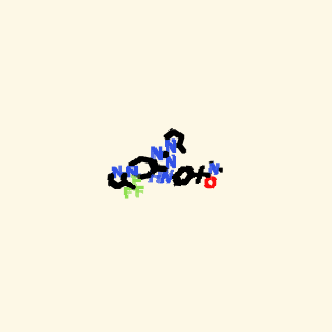 CC1CCCN1c1nc2c(c(Nc3ccc(C(C)(C)C(=O)N(C)C)cc3)n1)CCN(c1ncccc1C(F)(F)F)CC2